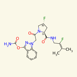 CC(C)=C(F)CNC(=O)[C@@H]1C[C@@H](F)CN1C(=O)Cn1nc(OC(N)=O)c2ccccc21